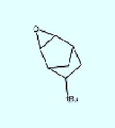 CC(C)(C)C1CC2CC1C1OC21